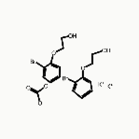 O=C([O-])[O-].OCCOc1ccccc1Br.OCCOc1ccccc1Br.[K+].[K+]